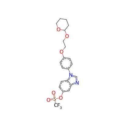 O=S(=O)(Oc1ccc2c(c1)ncn2-c1ccc(OCCOC2CCCCO2)cc1)C(F)(F)F